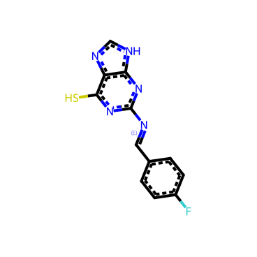 Fc1ccc(/C=N/c2nc(S)c3nc[nH]c3n2)cc1